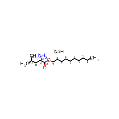 CCCCCCCCCCOC(=O)[C@@H](N)CC(C)C.[NaH]